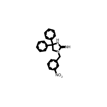 N=C1NC(c2ccccc2)(c2ccccc2)CN1Cc1cccc([N+](=O)[O-])c1